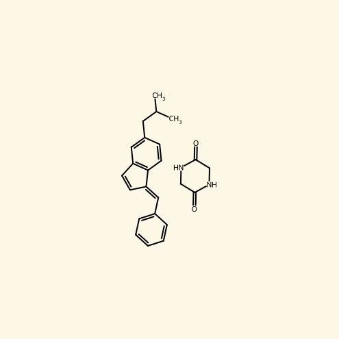 CC(C)Cc1ccc2c(c1)C=CC2=Cc1ccccc1.O=C1CNC(=O)CN1